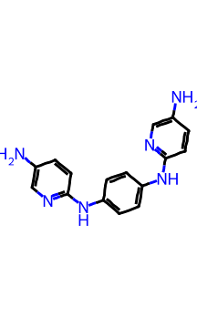 Nc1ccc(Nc2ccc(Nc3ccc(N)cn3)cc2)nc1